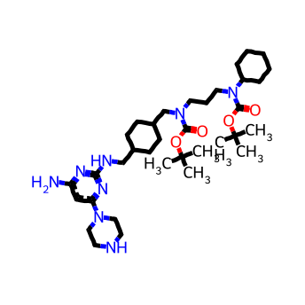 CC(C)(C)OC(=O)N(CCCN(C(=O)OC(C)(C)C)C1CCCCC1)CC1CCC(CNc2nc(N)cc(N3CCNCC3)n2)CC1